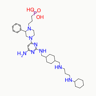 Nc1cc(N2CCN(CCCP(=O)(O)O)C(c3ccccc3)C2)nc(NCC2CCC(CNCCCNC3CCCCC3)CC2)n1